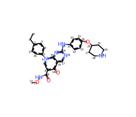 CCc1ccc(-n2cc(C(=O)NOC)c(=O)c3cnc(Nc4ccc(OC5CCNCC5)cc4)nc32)cc1